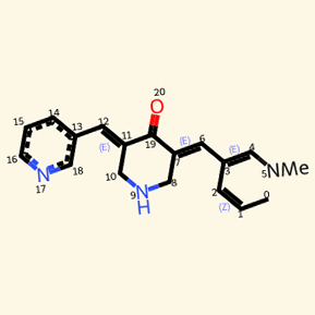 C\C=C/C(=C\NC)/C=C1\CNC/C(=C\c2cccnc2)C1=O